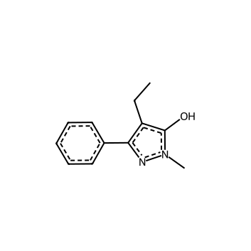 CCc1c(-c2ccccc2)nn(C)c1O